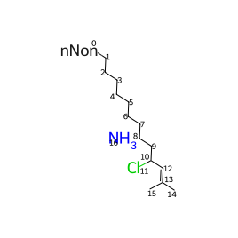 CCCCCCCCCCCCCCCCCCC(Cl)C=C(C)C.N